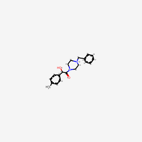 Cc1ccc(C(O)C(=O)N2CCN(Cc3ccccc3)CC2)cc1